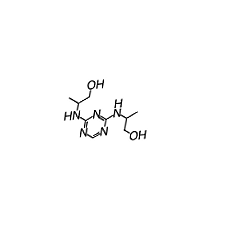 CC(CO)Nc1ncnc(NC(C)CO)n1